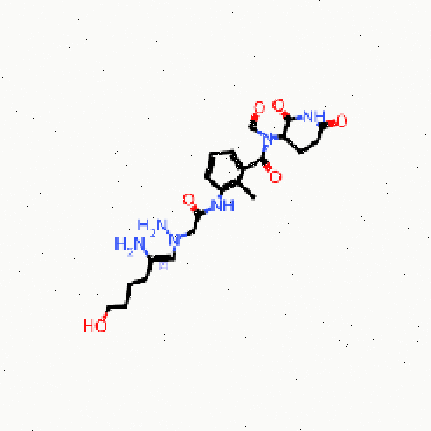 Cc1c(NC(=O)CN(N)/C=C(\N)CCCCO)cccc1C(=O)N(C=O)C1CCC(=O)NC1=O